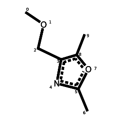 COCc1nc(C)oc1C